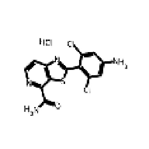 Cl.NC(=O)c1nccc2nc(-c3c(Cl)cc(N)cc3Cl)sc12